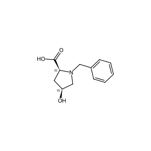 O=C(O)[C@@H]1C[C@H](O)CN1Cc1ccccc1